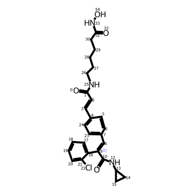 O=C(C=Cc1ccc(/C=C(/C(=O)NC2CC2)c2ccccc2Cl)cc1)NCCCCCC(=O)NO